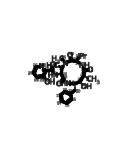 CC(C)C1NC(=O)[C@H](C)[C@H](O)[C@H](Cc2ccccc2)NC(=O)[C@@H](NC(=O)c2ncccc2O)[C@@H](C)N(C)C1=O